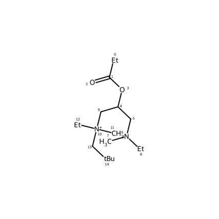 CCC(=O)OC(CN(C)CC)C[N+](C)(CC)CC(C)(C)C